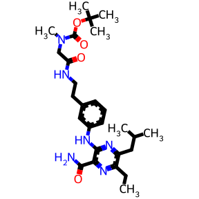 CCc1nc(C(N)=O)c(Nc2cccc(CCNC(=O)CN(C)C(=O)OC(C)(C)C)c2)nc1CC(C)C